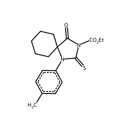 CCOC(=O)N1C(=O)C2(CCCCC2)N(c2ccc(C)cc2)C1=S